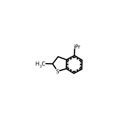 CC1Cc2c(cccc2C(C)C)S1